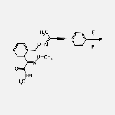 CNC(=O)/C(=N/OC)c1ccccc1CO/N=C(\C)C#Cc1ccc(C(F)(F)F)cc1